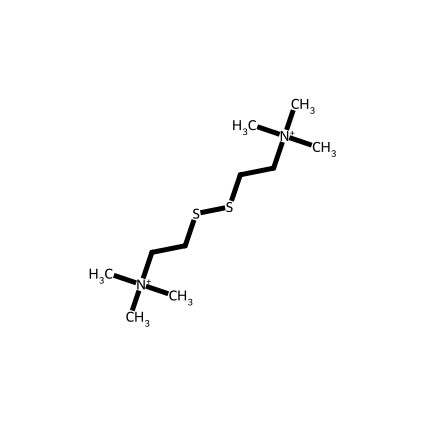 C[N+](C)(C)CCSSCC[N+](C)(C)C